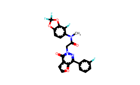 CN(C(=O)Cn1nc(-c2cccc(F)c2)c2occc2c1=O)c1ccc2c(c1F)OC(F)(F)O2